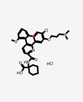 COc1cccc(OC)c1-c1ccc(C(=O)NC2(C(=O)O)CCCCC2)nc1-c1ccc(Cl)c(OCCCN(C)C)c1.Cl